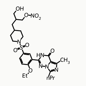 CCCc1nc(C)c2c(=O)[nH]c(-c3cc(S(=O)(=O)N4CCC(CC(CO)CO[N+](=O)[O-])CC4)ccc3OCC)nn12